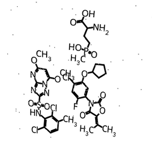 CC(C)=C1OC(=O)N(c2cc(OC3CCCC3)c(Cl)cc2F)C1=O.COc1cc(OC)n2nc(S(=O)(=O)Nc3c(Cl)ccc(C)c3Cl)nc2n1.CP(=O)(O)CCC(N)C(=O)O